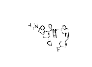 NC1Cc2cc(Cl)cc(C(=O)NCC3CN(Cc4ccc(F)cc4)CCO3)c2O1